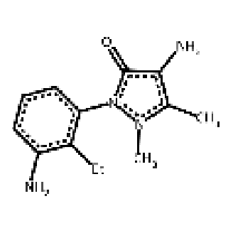 CCc1c(N)cccc1-n1c(=O)c(N)c(C)n1C